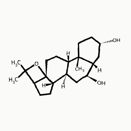 CC1(C)O[C@]23CC[C@H]4[C@@H](C[C@H](O)[C@H]5C[C@@H](O)CCC54C)[C@@H]2CCC13